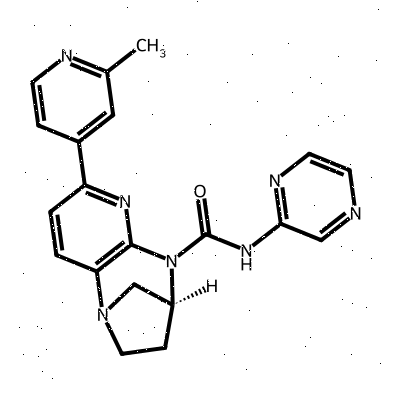 Cc1cc(-c2ccc3c(n2)N(C(=O)Nc2cnccn2)[C@H]2CCN3C2)ccn1